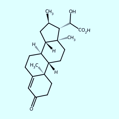 C[C@@H]1C[C@H]2[C@@H]3CCC4=CC(=O)CC[C@]4(C)[C@H]3CC[C@]2(C)[C@H]1C(O)C(=O)O